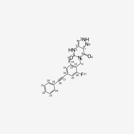 O=c1[nH]c2c[nH]nc2c(=O)n1Cc1c(F)cc(C#Cc2ccccc2)cc1F